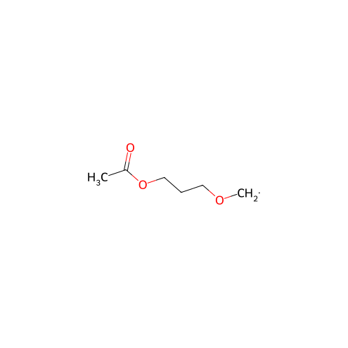 [CH2]OCCCOC(C)=O